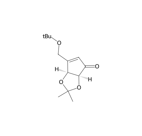 CC(C)(C)OCC1=CC(=O)[C@H]2OC(C)(C)O[C@@H]12